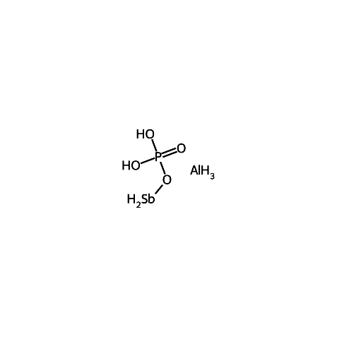 O=P(O)(O)[O][SbH2].[AlH3]